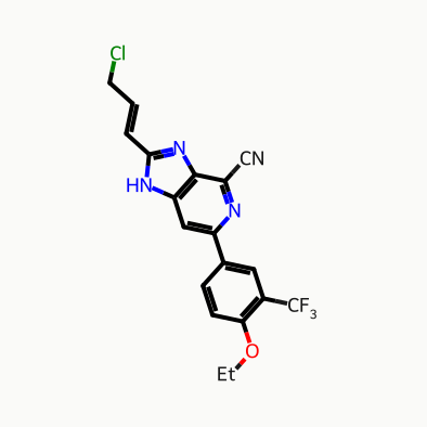 CCOc1ccc(-c2cc3[nH]c(C=CCCl)nc3c(C#N)n2)cc1C(F)(F)F